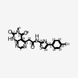 Cn1c(=O)[nH]c2ncnc(CC(=O)Nc3nc(-c4ccc(I)cc4)cs3)c2c1=O